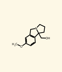 COc1ccc2c(c1)CN1CCCC21CO